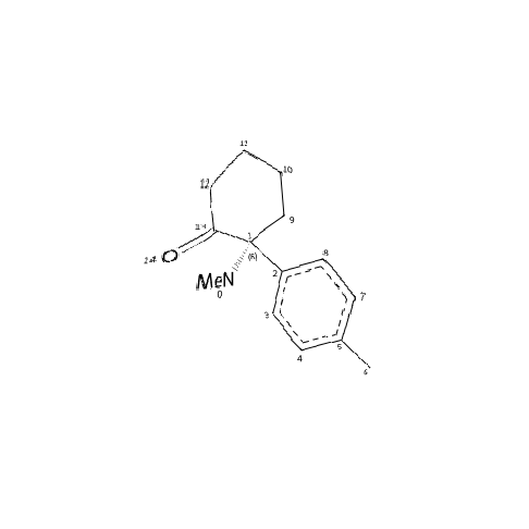 CN[C@@]1(c2ccc(C)cc2)CCCCC1=O